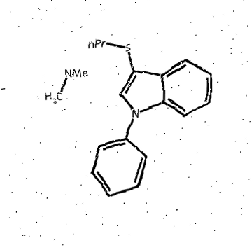 CCCSc1cn(-c2ccccc2)c2ccccc12.CNC